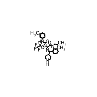 Cc1cccc(NC(=O)N(OC(=O)C(F)(F)F)C2N=C(C3CCNCC3)c3ccccc3N(CC(C)C)C2=O)c1